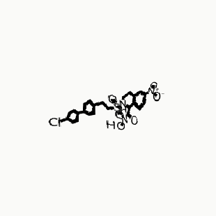 O=C(NO)C1c2ccc([N+](=O)[O-])cc2CCN1S(=O)(=O)CCc1ccc(-c2ccc(Cl)cc2)cc1